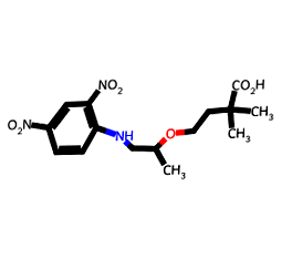 CC(CNc1ccc([N+](=O)[O-])cc1[N+](=O)[O-])OCCC(C)(C)C(=O)O